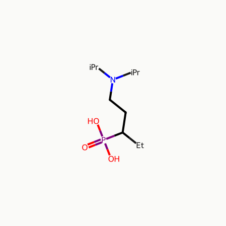 CCC(CCN(C(C)C)C(C)C)P(=O)(O)O